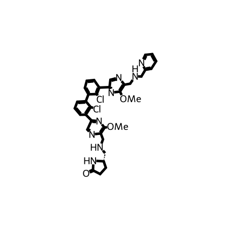 COc1nc(-c2cccc(-c3cccc(-c4cnc(CNC[C@@H]5CCC(=O)N5)c(OC)n4)c3Cl)c2Cl)cnc1CNCc1ccccn1